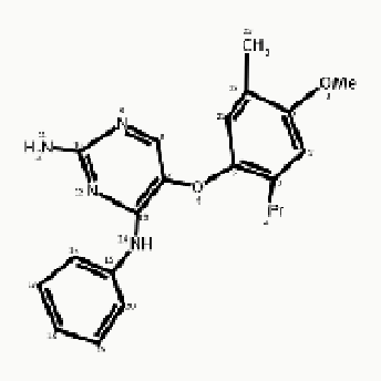 COc1cc(C(C)C)c(Oc2cnc(N)nc2Nc2ccccc2)cc1C